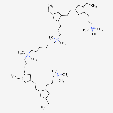 CCC1CC(CCC[N+](C)(C)C)C(CCC2CC(CC)C(CCC[N+](C)(C)CCCCCC[N+](C)(C)CCCC3CC(CC)CC3CCC3CC(CC)C(CCC[N+](C)(C)C)C3)C2)C1